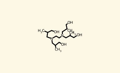 CC(CO)CN(CCN(CC(C)CO)CC(C)CO)CC(C)CO